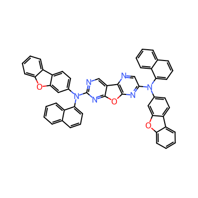 c1ccc2c(N(c3ccc4c(c3)oc3ccccc34)c3cnc4c(n3)oc3nc(N(c5ccc6c(c5)oc5ccccc56)c5cccc6ccccc56)ncc34)cccc2c1